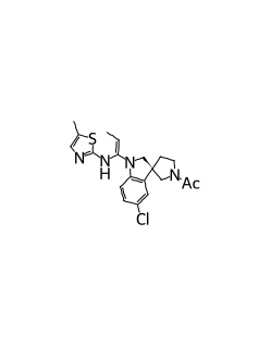 CC=C(Nc1ncc(C)s1)N1C[C@]2(CCN(C(C)=O)C2)c2cc(Cl)ccc21